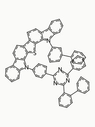 c1ccc(-c2cccc(-n3c4ccccc4c4ccc5c6ccc7c8ccccc8n(-c8ccc(-c9nc(-c%10ccccc%10)nc(-c%10ccccc%10-c%10ccccc%10)n9)cc8)c7c6sc5c43)c2)cc1